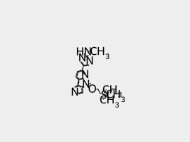 CNc1ncc(-c2ccc3c4cnccc4n(COCC[Si](C)(C)C)c3n2)cn1